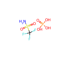 NS(=O)(=O)C(F)(F)F.O=P(O)(O)O